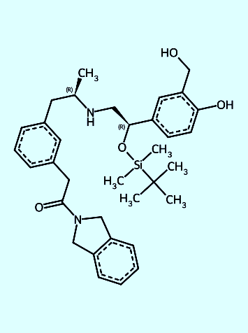 C[C@H](Cc1cccc(CC(=O)N2Cc3ccccc3C2)c1)NC[C@H](O[Si](C)(C)C(C)(C)C)c1ccc(O)c(CO)c1